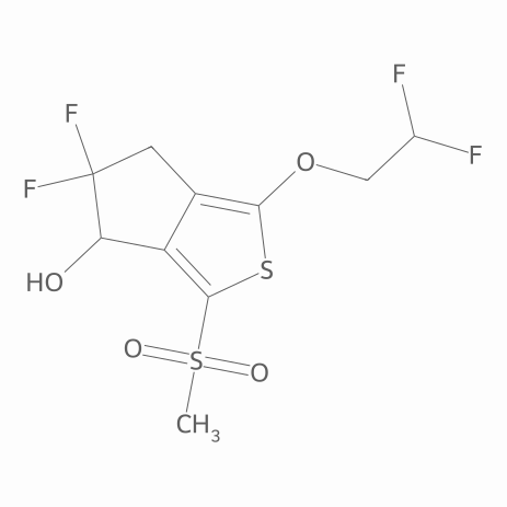 CS(=O)(=O)c1sc(OCC(F)F)c2c1C(O)C(F)(F)C2